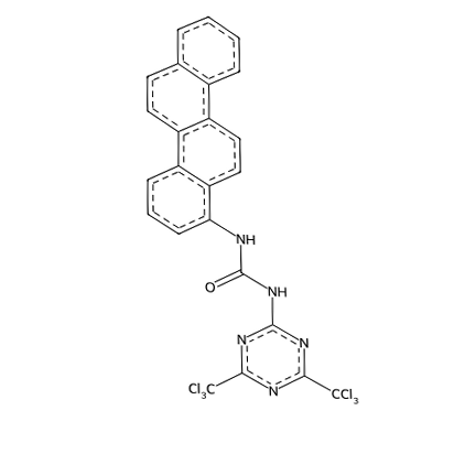 O=C(Nc1nc(C(Cl)(Cl)Cl)nc(C(Cl)(Cl)Cl)n1)Nc1cccc2c1ccc1c3ccccc3ccc21